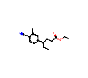 CCOC(=O)CCC(CC)c1ccc(C#N)c(C)c1